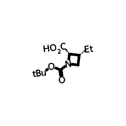 CC[C@@H]1CN(C(=O)OC(C)(C)C)[C@@H]1C(=O)O